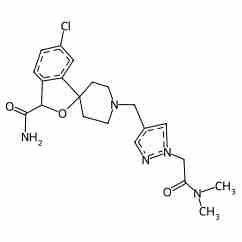 CN(C)C(=O)Cn1cc(CN2CCC3(CC2)OC(C(N)=O)c2ccc(Cl)cc23)cn1